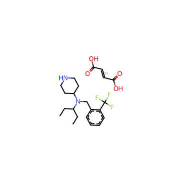 CCC(CC)N(Cc1ccccc1C(F)(F)F)C1CCNCC1.O=C(O)/C=C/C(=O)O